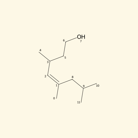 CC(=CC(C)CCO)CC(C)C